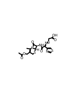 CC(=O)OCC1=C(C)N2C(=O)[C@@H](NC(=O)C(=NOCC(=O)O)c3cscn3)[C@H]2SC1